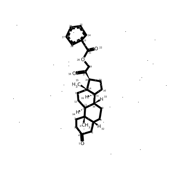 C[C@]12CCC(=O)C[C@H]1CC[C@@H]1[C@@H]2CC[C@]2(C)[C@@H](C(=O)COC(=O)c3ccccc3)CC[C@@H]12